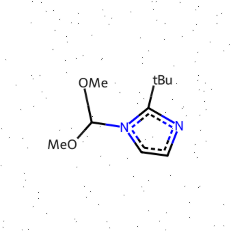 COC(OC)n1ccnc1C(C)(C)C